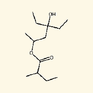 CCC(C)C(=O)OC(C)CC(O)(CC)CC